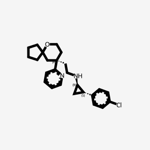 Clc1ccc([C@@H]2C[C@H]2NCC[C@@]2(c3ccccn3)CCOC3(CCCC3)C2)cc1